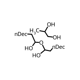 CC(O)CO.CCCCCCCCCCCC(O)OC(O)CCCCCCCCCCC